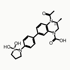 CC(=O)N1c2ccc(-c3ccc(N4CCCS4(O)O)cc3)cc2N(C(=O)O)C[C@@H]1C